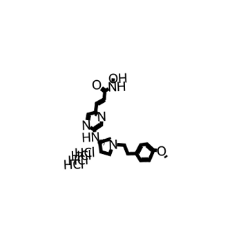 COc1ccc(CCN2CC[C@@H](Nc3cnc(C=CC(=O)NO)cn3)C2)cc1.Cl.Cl.Cl.Cl